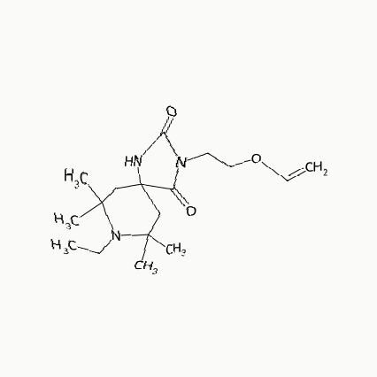 C=COCCN1C(=O)NC2(CC(C)(C)N(CC)C(C)(C)C2)C1=O